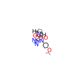 CC(C)Oc1ccc(NC(=O)[C@@H]2CC[C@@H]3CC[C@H]2N3S(=O)(=O)c2cn(C)cn2)cc1